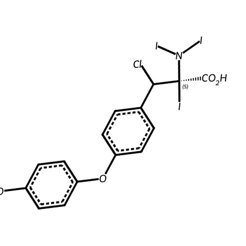 O=C(O)[C@](I)(C(Cl)c1ccc(Oc2ccc(O)cc2)cc1)N(I)I